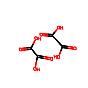 O=C(O)C(=O)O.O=C(O)C(=O)O